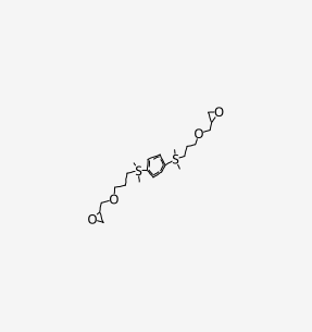 CS(C)(CCCOCC1CO1)c1ccc(S(C)(C)CCCOCC2CO2)cc1